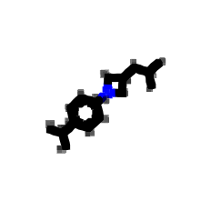 CC(C)CC1CN(c2ccc(C(C)C)cc2)C1